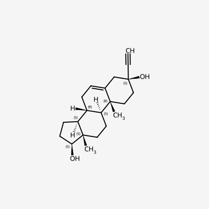 C#C[C@]1(O)CC[C@@]2(C)C(=CC[C@H]3[C@@H]4CC[C@H](O)[C@@]4(C)CC[C@@H]32)C1